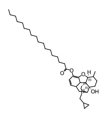 CCCCCCCCCCCCCCCCCC(=O)OC1=C2O[C@H]3C(C)CC[C@@]4(O)C5CC(C=C1)C2[C@@]34CCN5CC1CC1